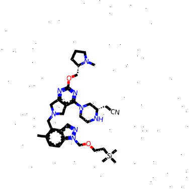 Cc1ccc2c(cnn2COCC[Si](C)(C)C)c1CN1Cc2nc(OC[C@@H]3CCCN3C)nc(N3CCN[C@@H](CC#N)C3)c2C1